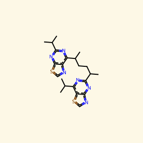 CC(C)c1nc(C(C)CCC(C)c2nc(C(C)C)c3scnc3n2)c2ncsc2n1